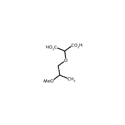 COC(C)COC(C(=O)O)C(=O)O